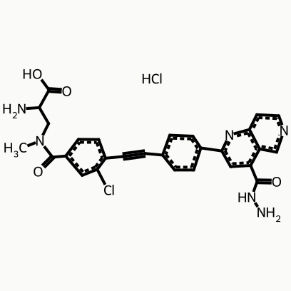 CN(CC(N)C(=O)O)C(=O)c1ccc(C#Cc2ccc(-c3cc(C(=O)NN)c4cnccc4n3)cc2)c(Cl)c1.Cl